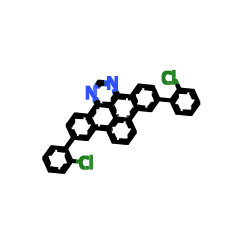 Clc1ccccc1-c1ccc2c(c1)c1cccc3c4cc(-c5ccccc5Cl)ccc4c4ncnc2c4c13